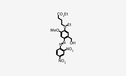 CCOC(=O)CCCN(CC)c1cc(CO)c(N=Nc2ccc([N+](=O)[O-])cc2[N+](=O)[O-])cc1OC